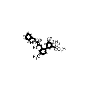 CCN(Cc1cc(C(F)(F)F)ccc1-c1cc(C(C)C(=O)O)cc(C(F)(F)F)c1)C(=O)NCc1ccccc1